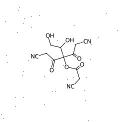 N#CCC(=O)OC(C(=O)CC#N)(C(=O)CC#N)C(O)CO